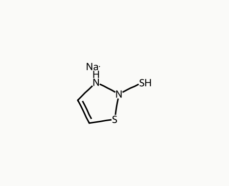 SN1NC=CS1.[Na]